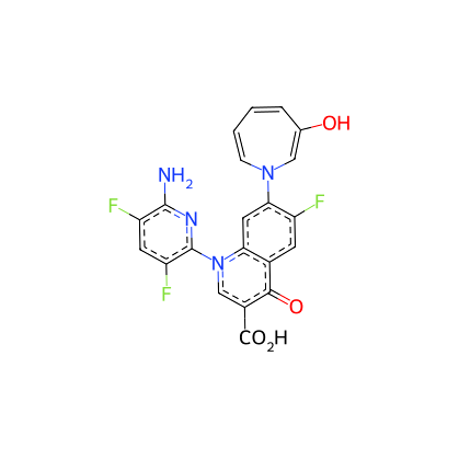 Nc1nc(-n2cc(C(=O)O)c(=O)c3cc(F)c(N4C=CC=CC(O)=C4)cc32)c(F)cc1F